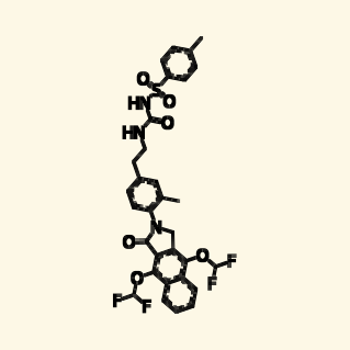 Cc1ccc(S(=O)(=O)NC(=O)NCCc2ccc(N3Cc4c(c(OC(F)F)c5ccccc5c4OC(F)F)C3=O)c(C)c2)cc1